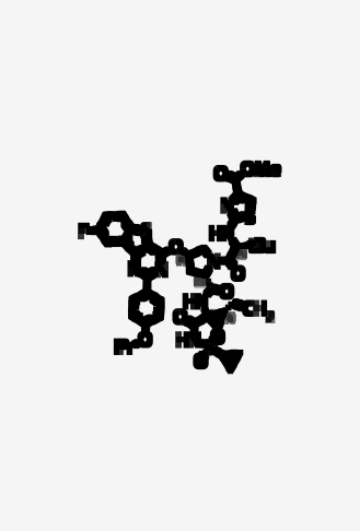 C=C[C@@H]1C[C@]1(NC(=O)[C@@H]1C[C@@H](Oc2nc(-c3ccc(OC(C)C)cc3)nc3c2sc2ccc(F)cc23)CN1C(=O)[C@@H](Nc1nc(C(=O)OC)cs1)C(C)(C)C)C(=O)NS(=O)(=O)C1CC1